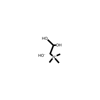 C[N+](C)(C)CC(O)O.[OH-]